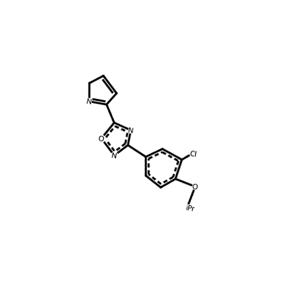 CC(C)Oc1ccc(-c2noc(C3=NCC=C3)n2)cc1Cl